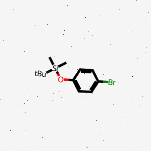 CC(C)(C)[Si](C)(C)Oc1[c]cc(Br)cc1